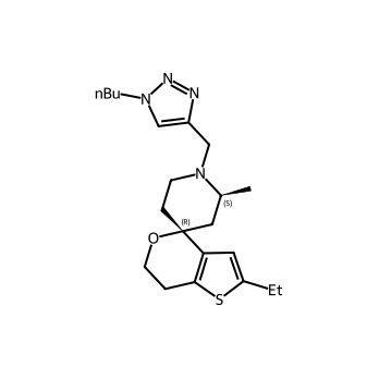 CCCCn1cc(CN2CC[C@]3(C[C@@H]2C)OCCc2sc(CC)cc23)nn1